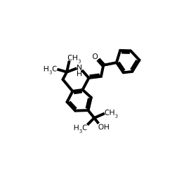 CC1(C)Cc2ccc(C(C)(C)O)cc2C(=CC(=O)c2ccccc2)N1